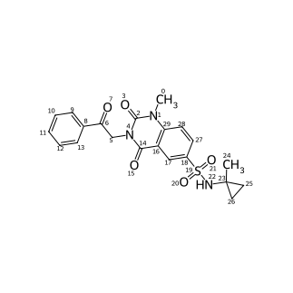 Cn1c(=O)n(CC(=O)c2ccccc2)c(=O)c2cc(S(=O)(=O)NC3(C)CC3)ccc21